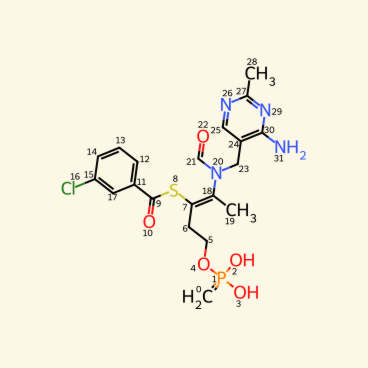 C=P(O)(O)OCC/C(SC(=O)c1cccc(Cl)c1)=C(\C)N(C=O)Cc1cnc(C)nc1N